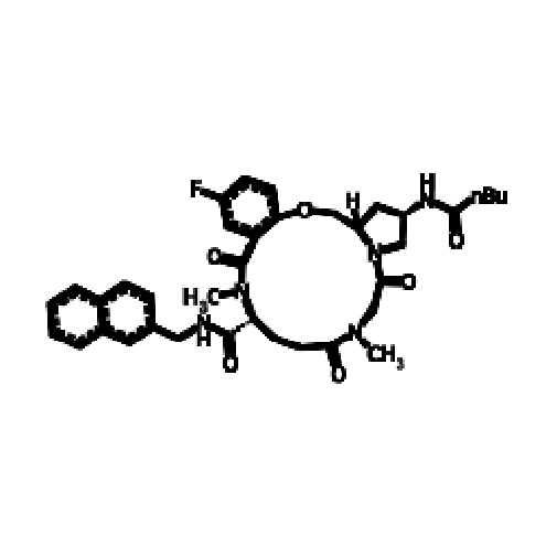 CCCCC(=O)N[C@@H]1C[C@H]2COc3ccc(F)cc3C(=O)N(C)[C@@H](C(=O)NCc3ccc4ccccc4c3)CCC(=O)N(C)CC(=O)N2C1